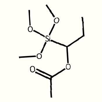 CCC(OC(C)=O)[Si](OC)(OC)OC